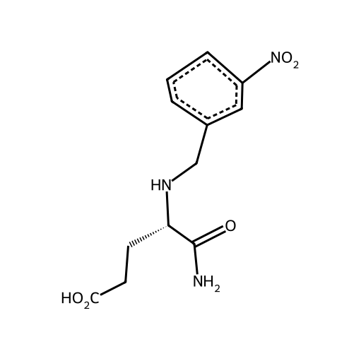 NC(=O)[C@H](CCC(=O)O)NCc1cccc([N+](=O)[O-])c1